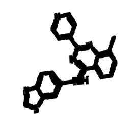 Cc1cccc2c(Nc3ccc4ncsc4c3)nc(-c3ccncc3)nc12